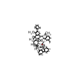 COc1ccc(F)cc1[C@H](Cn1c(=O)n([C@@]2(C)CCC(=O)NC2)c(=O)c2c(C)c(-n3nccn3)sc21)OCCO[Si](c1ccccc1)(c1ccccc1)C(C)(C)C